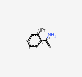 C=C(N)c1ccccc1C(C)C